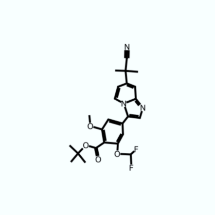 COc1cc(-c2cnc3cc(C(C)(C)C#N)ccn23)cc(OC(F)F)c1C(=O)OC(C)(C)C